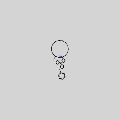 CC1/C=C(/OC(=O)OCc2ccccc2)CCCCCCCCCCCC1